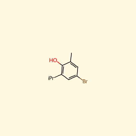 Cc1cc(Br)cc(C(C)C)c1O